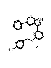 Cc1ccc(CNc2cccc(-c3c[nH]c4ncc(-c5ccccc5)cc34)n2)cc1